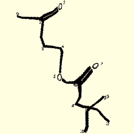 CC(=O)CCOC(=O)CC(C)(C)C